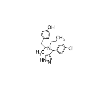 CCCN(C(C)Cc1ccc(O)cc1)C(c1ccc(Cl)cc1)c1cn[nH]c1